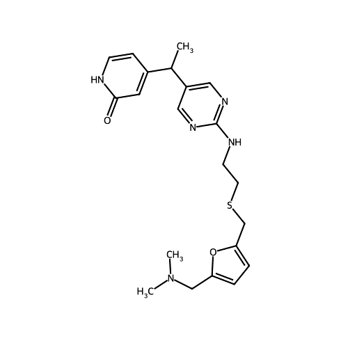 CC(c1cnc(NCCSCc2ccc(CN(C)C)o2)nc1)c1cc[nH]c(=O)c1